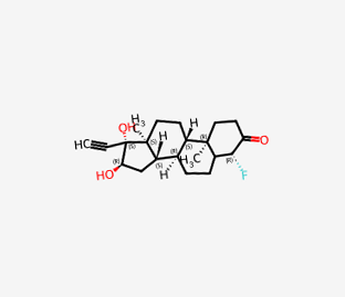 C#C[C@]1(O)[C@H](O)C[C@H]2[C@@H]3CCC4[C@@H](F)C(=O)CC[C@]4(C)[C@H]3CC[C@@]21C